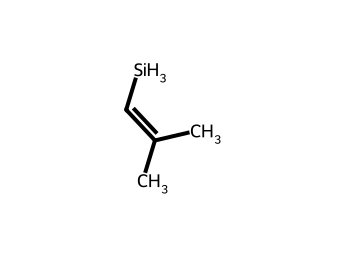 CC(C)=C[SiH3]